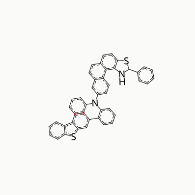 c1ccc(C2Nc3c(ccc4ccc5cc(N(c6ccccc6)c6ccccc6-c6ccc7c(c6)sc6ccccc67)ccc5c34)S2)cc1